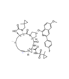 COc1ccc2c(O[C@@H]3C[C@H]4C(=O)N[C@]5(C(=O)NS(=O)(=O)C6(C)CC6)C[C@H]5/C=C\CC[C@H](C)C[C@@H](C)[C@H](N(CC5(C)CC5)C(=O)O)C(=O)N4C3)nc(-c3ccc(F)cc3)cc2c1